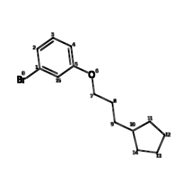 Brc1cccc(OCCCC2CCCC2)c1